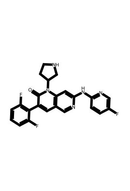 O=c1c(-c2c(F)cccc2F)cc2cnc(Nc3ccc(F)cn3)cc2n1C1CCNC1